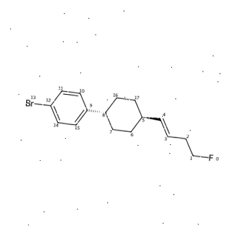 FCCC=C[C@H]1CC[C@H](c2ccc(Br)cc2)CC1